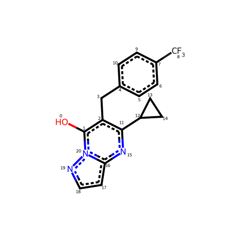 Oc1c(Cc2ccc(C(F)(F)F)cc2)c(C2CC2)nc2ccnn12